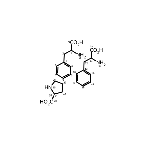 NC(Cc1ccccc1)C(=O)O.NC(Cc1ccccc1)C(=O)O.O=C(O)[C@@H]1CCCN1